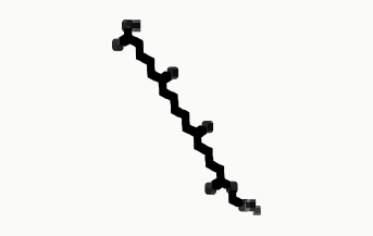 CCOC(=O)CCCCC(=O)CCCCCC(=O)CCCCC(=O)O